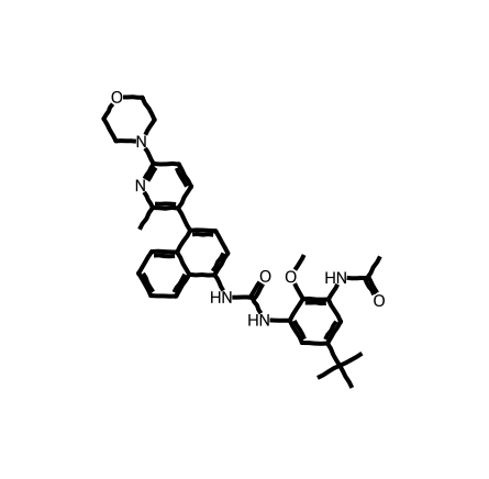 COc1c(NC(C)=O)cc(C(C)(C)C)cc1NC(=O)Nc1ccc(-c2ccc(N3CCOCC3)nc2C)c2ccccc12